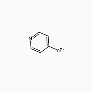 C[CH]Cc1ccncc1